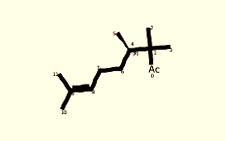 CC(=O)C(C)(C)[C@H](C)CCC=C(C)C